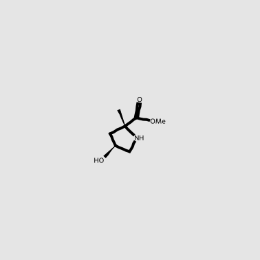 COC(=O)[C@@]1(C)C[C@H](O)CN1